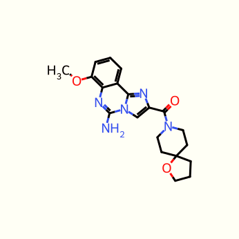 COc1cccc2c1nc(N)n1cc(C(=O)N3CCC4(CCCO4)CC3)nc21